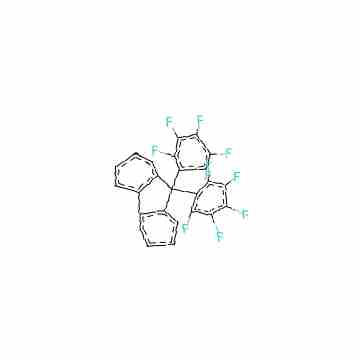 Fc1c(F)c(F)c(C2(c3c(F)c(F)c(F)c(F)c3F)c3ccccc3-c3ccccc32)c(F)c1F